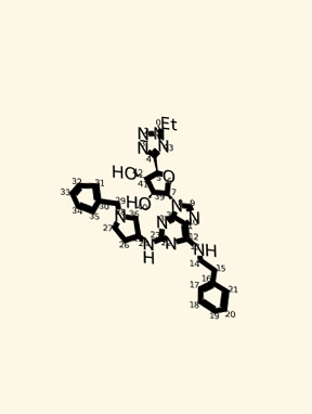 CCn1nnc([C@H]2O[C@@H](n3cnc4c(NCCc5ccccc5)nc(NC5CCN(Cc6ccccc6)C5)nc43)[C@H](O)[C@@H]2O)n1